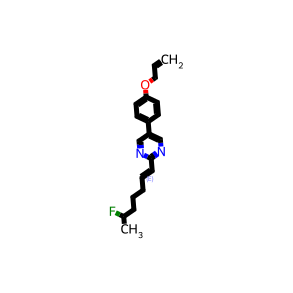 C=CCOc1ccc(-c2cnc(/C=C/CCCC(C)F)nc2)cc1